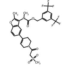 Cc1oc2ccc(C3=CCN(C(=O)CS(C)(=O)=O)CC3)cc2c1N(C)C(=O)OCc1cc(C(F)(F)F)cc(C(F)(F)F)c1